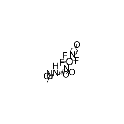 Cc1cc(NC[C@H]2CN(c3cc(F)c(N4C=CC(=O)CC4)c(F)c3F)C(=O)O2)no1